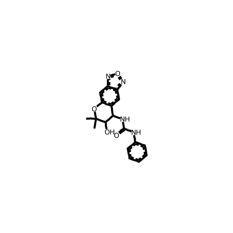 CC1(C)Oc2cc3nonc3cc2C(NC(=O)Nc2ccccc2)C1O